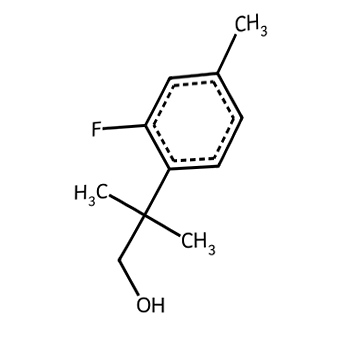 Cc1ccc(C(C)(C)CO)c(F)c1